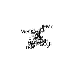 COc1ccc(CN(Cc2ccc(OC)cc2)c2cc(C)c(C(F)(F)F)c(-c3c(F)c(N)c(C(=O)O)c(F)c3CCNC(=O)OC(C)(C)C)n2)cc1